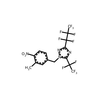 Cc1cc(Cn2nc(C(F)(F)C(F)(F)C(F)(F)F)nc2C(F)(F)C(F)(F)F)ccc1[N+](=O)[O-]